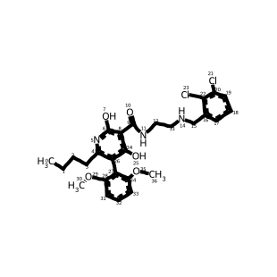 CCCCc1nc(O)c(C(=O)NCCNCc2cccc(Cl)c2Cl)c(O)c1-c1c(OC)cccc1OC